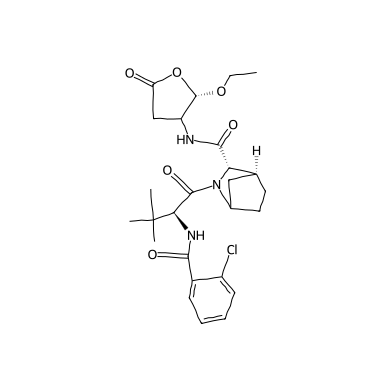 CCO[C@H]1OC(=O)CC1NC(=O)[C@@H]1[C@H]2CCC(C2)N1C(=O)[C@@H](NC(=O)c1ccccc1Cl)C(C)(C)C